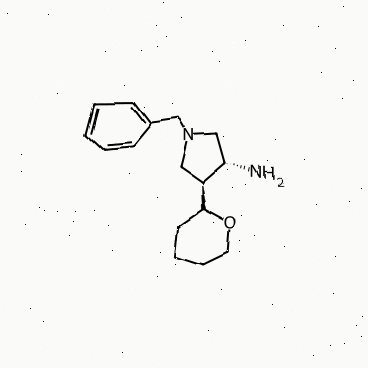 N[C@H]1CN(Cc2ccccc2)C[C@@H]1C1CCCCO1